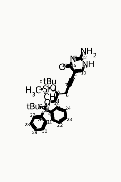 CC(C)(C)[Si](C)(C)O[C@@H](CC#Cc1c[nH]c(N)nc1=O)CO[Si](c1ccccc1)(c1ccccc1)C(C)(C)C